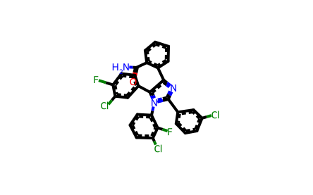 NC(=O)c1ccccc1-c1nc(-c2cccc(Cl)c2)n(-c2cccc(Cl)c2F)c1-c1ccc(F)c(Cl)c1